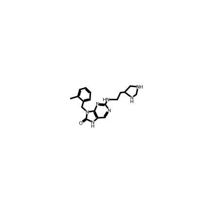 Cc1ccccc1Cn1c(=O)[nH]c2cnc(NCCC3CNCN3)nc21